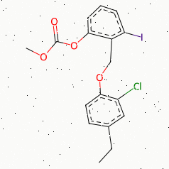 CCc1ccc(OCc2c(I)cccc2OC(=O)OC)c(Cl)c1